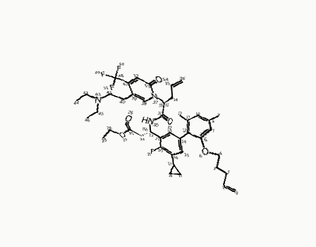 C=CCCCOc1cc(C)cc(C)c1-c1cc(C2CC2)c(F)c([C@H](CC(=O)OCC)NC(=O)[C@H](CC=C)n2cc(CCN(CC)CC)c(C(F)(F)F)cc2=O)c1